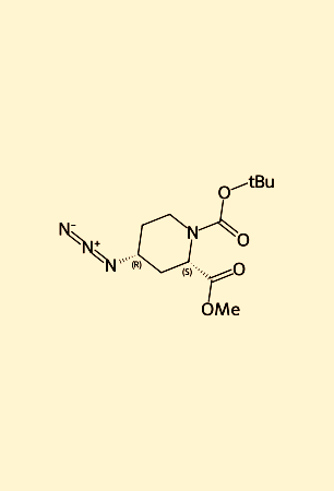 COC(=O)[C@@H]1C[C@H](N=[N+]=[N-])CCN1C(=O)OC(C)(C)C